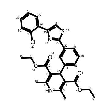 CCOC(=O)C1=C(C)NC(C)=C(C(=O)OCC)C1c1cccc(-c2nc(-c3ccccc3Cl)cs2)c1